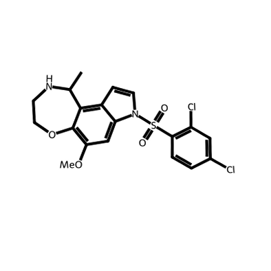 COc1cc2c(ccn2S(=O)(=O)c2ccc(Cl)cc2Cl)c2c1OCCNC2C